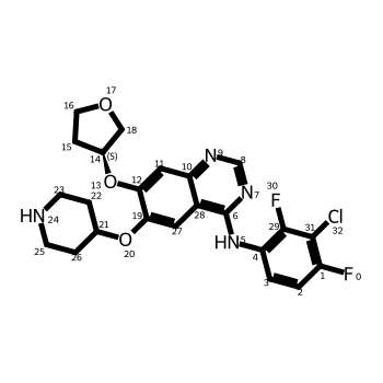 Fc1ccc(Nc2ncnc3cc(O[C@H]4CCOC4)c(OC4CCNCC4)cc23)c(F)c1Cl